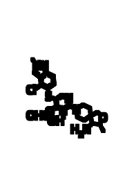 C[C@@H]1OCC2(CCN(c3ncc(Sc4ccc5nn(C)cc5c4Cl)c(=O)n3C)CC2)[C@@H]1N.O=CO